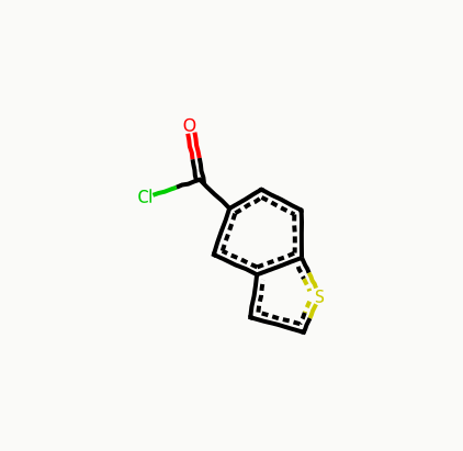 O=C(Cl)c1ccc2sccc2c1